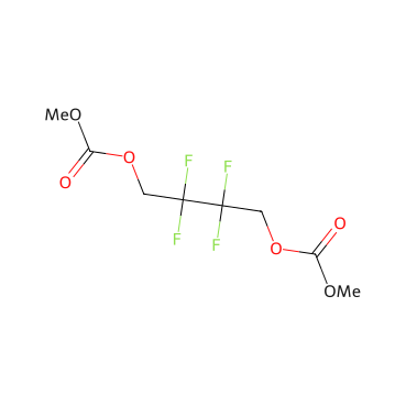 COC(=O)OCC(F)(F)C(F)(F)COC(=O)OC